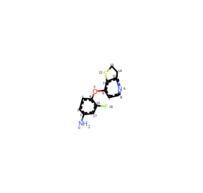 Nc1ccc(Oc2ccnc3c2SCC3)c(F)c1